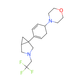 FC(F)(F)CN1CC2CC2(C2=CCC(N3CCOCC3)C=C2)C1